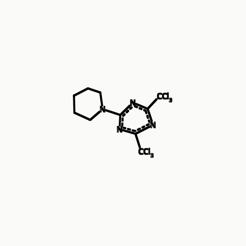 ClC(Cl)(Cl)c1nc(N2CCCCC2)nc(C(Cl)(Cl)Cl)n1